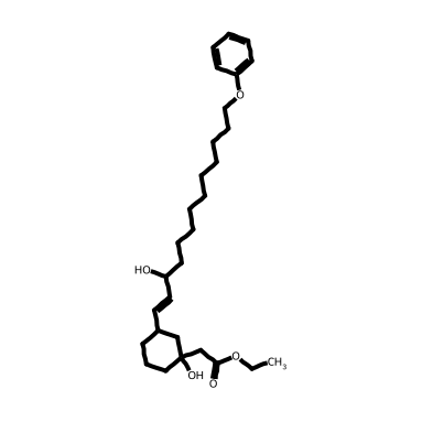 CCOC(=O)CC1(O)CCCC(C=CC(O)CCCCCCCCCCOc2ccccc2)C1